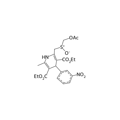 CCOC(=O)C1=C(C)NC(C[S+]([O-])COC(C)=O)=C(C(=O)OCC)C1c1cccc([N+](=O)[O-])c1